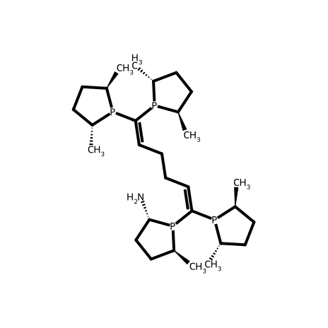 C[C@@H]1CC[C@@H](C)P1C(=CCC/C=C(/P1[C@@H](C)CC[C@@H]1C)P1[C@@H](C)CC[C@@H]1N)P1[C@H](C)CC[C@H]1C